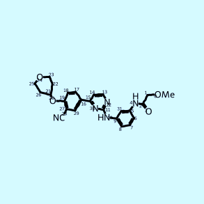 COCC(=O)Nc1cccc(Nc2nccc(-c3ccc(OC4CCOCC4)c(C#N)c3)n2)c1